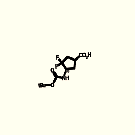 CC(C)(C)OC(=O)N[C@@H]1CC(C(=O)O)CC1(F)F